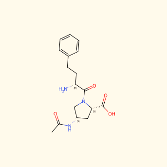 CC(=O)N[C@H]1C[C@@H](C(=O)O)N(C(=O)[C@H](N)CCc2ccccc2)C1